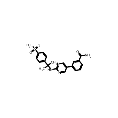 CC(C)(Nc1ncc(-c2cccc(C(N)=O)c2)cn1)c1ccc(S(C)(=O)=O)cc1